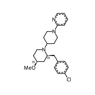 CO[C@H]1CCN(C2CCN(c3ccccn3)CC2)[C@@H](Cc2ccc(Cl)cc2)C1